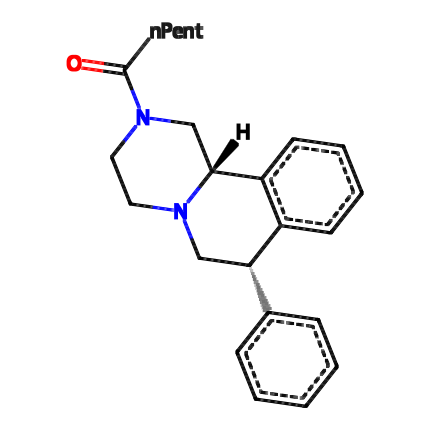 CCCCCC(=O)N1CCN2C[C@@H](c3ccccc3)c3ccccc3[C@H]2C1